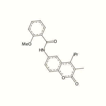 COc1ccccc1C(=O)Nc1ccc2oc(=O)c(C)c(C(C)C)c2c1